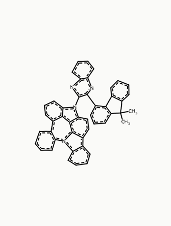 CC1(C)c2ccccc2-c2c(-c3nc4ccccc4nc3-n3c4cccc5c6ccccc6n6c7ccccc7c7ccc3c(c54)c76)cccc21